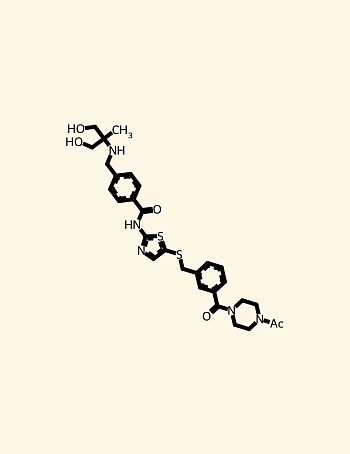 CC(=O)N1CCN(C(=O)c2cccc(CSc3cnc(NC(=O)c4ccc(CNC(C)(CO)CO)cc4)s3)c2)CC1